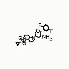 N[C@H]1C[C@@H](N2CCC3C2CCN3S(=O)(=O)C2CC2)CO[C@@H]1c1cc(F)ccc1F